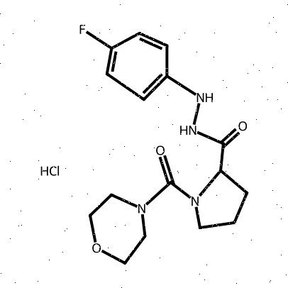 Cl.O=C(NNc1ccc(F)cc1)C1CCCN1C(=O)N1CCOCC1